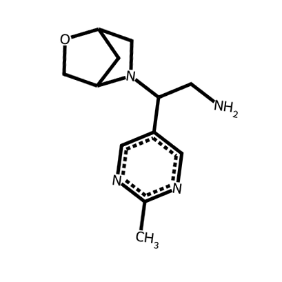 Cc1ncc(C(CN)N2CC3CC2CO3)cn1